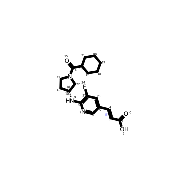 O=C(O)/C=C/c1cnc(N[C@@H]2CCN(C(=O)C3CCCCC3)C2)c(F)c1